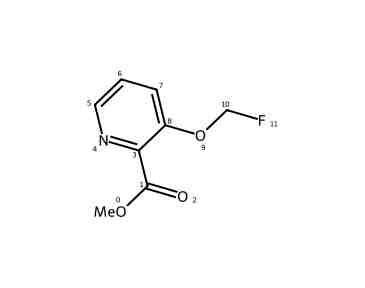 COC(=O)c1ncccc1OCF